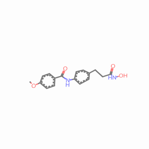 COc1ccc(C(=O)Nc2ccc(CCC(=O)NO)cc2)cc1